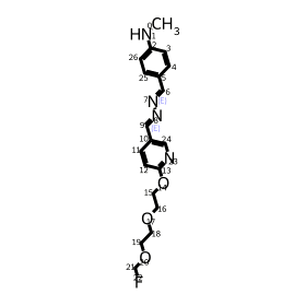 CNc1ccc(/C=N/N=C/c2ccc(OCCOCCOCF)nc2)cc1